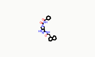 O=C(Cc1cccc2ccccc12)Nc1n[nH]c2c1CN(C(=O)NC(=O)c1ccccc1)C2